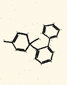 CC1=CCC(C)(c2ccccc2-c2ccccc2)C=C1